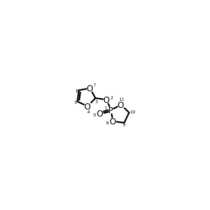 O=P1(OC2OC=CO2)OCCO1